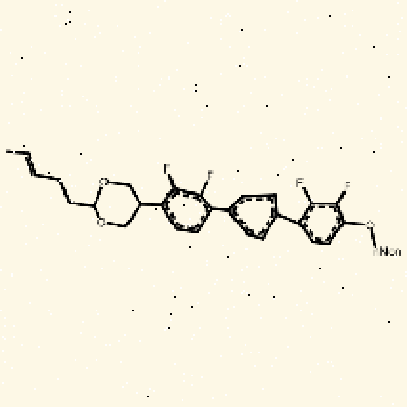 C/C=C/CCC1OCC(c2ccc(-c3ccc(-c4ccc(OCCCCCCCCC)c(F)c4F)cc3)c(F)c2F)CO1